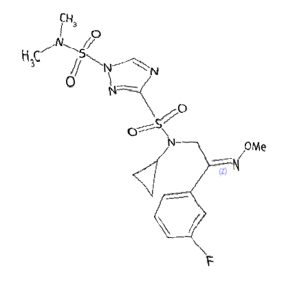 CO/N=C(\CN(C1CC1)S(=O)(=O)c1ncn(S(=O)(=O)N(C)C)n1)c1cccc(F)c1